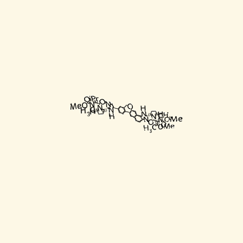 COC(=O)N[C@H](C(=O)N1[C@@H](C)CC[C@H]1c1ncc(-c2ccc3c(c2)COc2cc4c(ccc5nc([C@@H]6CC[C@H](C)N6C(=O)[C@@H](NC(=O)OC)[C@@H](C)OC)[nH]c54)cc2-3)[nH]1)C(C)C